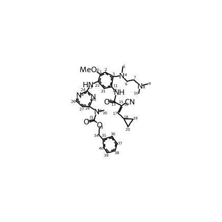 COc1cc(N(C)CCN(C)C)c(NC(=O)/C(C#N)=C/C2CC2)cc1Nc1nccc(N(C)C(=O)OCc2ccccc2)n1